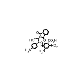 Nc1ccc(C(=O)O)c([N+](=O)[O-])c1.Nc1ccc(C(O)C(CO)N2C(=O)c3ccccc3C2=O)cc1